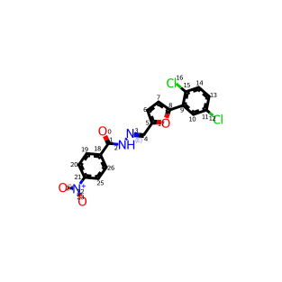 O=C(N/N=C/c1ccc(-c2cc(Cl)ccc2Cl)o1)c1ccc([N+](=O)[O-])cc1